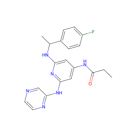 CCC(=O)Nc1cc(Nc2cnccn2)nc(NC(C)c2ccc(F)cc2)c1